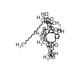 CCCCCCCCCCCCCCCC(=O)N(C)[C@H](CO)C(=O)N[C@H](C)C(=O)NCC(=O)N(C)[C@@H]1C(=O)N[C@@H](C)C(=O)N[C@H](C(=O)NCC(=O)NS(C)(=O)=O)Cc2ccc(O)c(c2)-c2cc1ccc2O